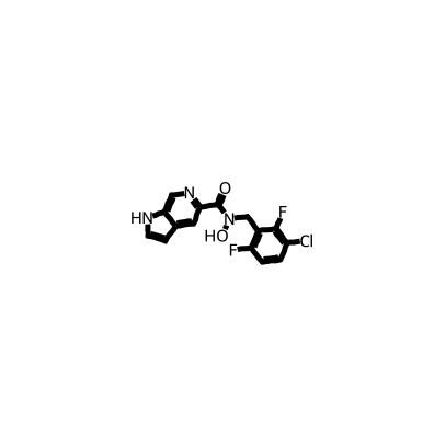 O=C(c1cc2cc[nH]c2cn1)N(O)Cc1c(F)ccc(Cl)c1F